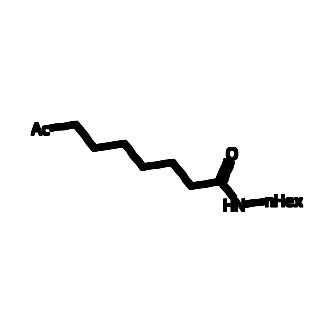 CCCCCCNC(=O)CCCCCCC(C)=O